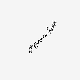 [N-]=[N+]=NC(=O)OCCOCCOCCOC(=O)N=[N+]=[N-]